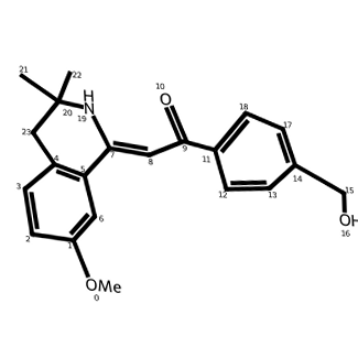 COc1ccc2c(c1)C(=CC(=O)c1ccc(CO)cc1)NC(C)(C)C2